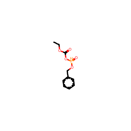 CCOC(=O)O[PH](=O)OCc1ccccc1